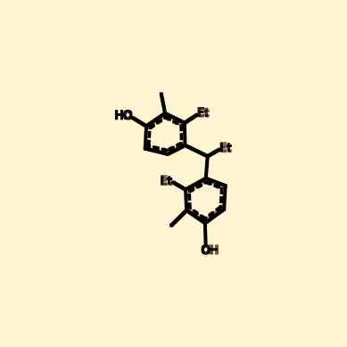 CCc1c(C(CC)c2ccc(O)c(C)c2CC)ccc(O)c1C